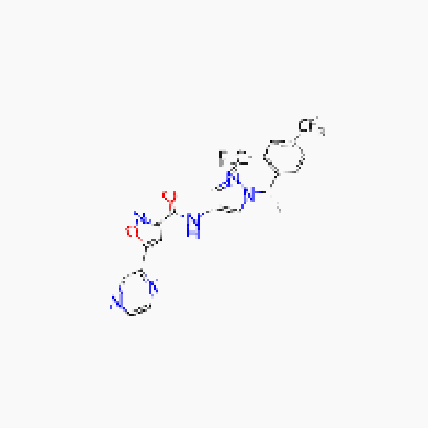 C[C@@H](c1ccc(C(F)(F)F)cc1C(F)(F)F)n1cc(NC(=O)c2cc(-c3cnccn3)on2)cn1